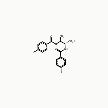 Cc1ccc(C(=O)N[C@@H](C(=O)O)[C@@H](OC(=O)c2ccc(C)cc2)C(=O)O)cc1